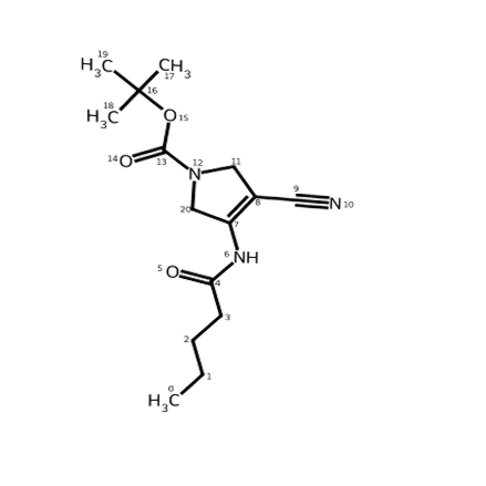 CCCCC(=O)NC1=C(C#N)CN(C(=O)OC(C)(C)C)C1